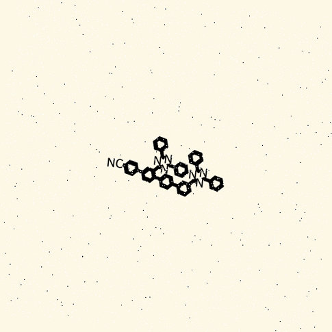 N#Cc1ccc(-c2ccc(-c3ccc(-c4cccc(-c5nc(-c6ccccc6)nc(-c6ccccc6)n5)c4)cc3)c(-c3nc(-c4ccccc4)nc(-c4ccccc4)n3)c2)cc1